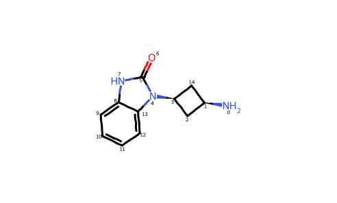 N[C@H]1C[C@@H](n2c(=O)[nH]c3ccccc32)C1